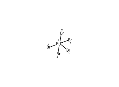 [Br][Pd]([Br])([Br])([Br])[Br]